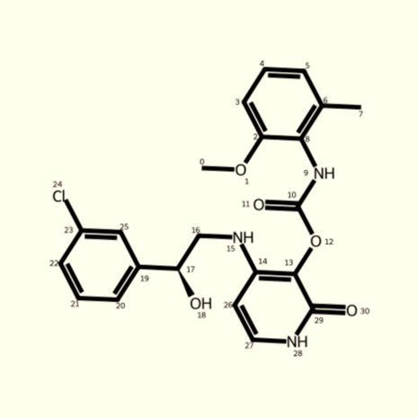 COc1cccc(C)c1NC(=O)Oc1c(NC[C@@H](O)c2cccc(Cl)c2)cc[nH]c1=O